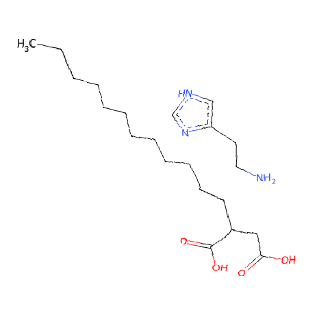 CCCCCCCCCCCCC(CC(=O)O)C(=O)O.NCCc1c[nH]cn1